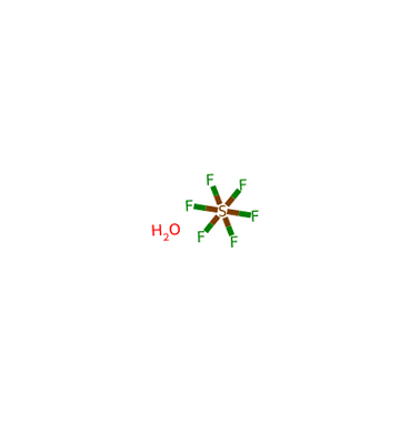 FS(F)(F)(F)(F)F.O